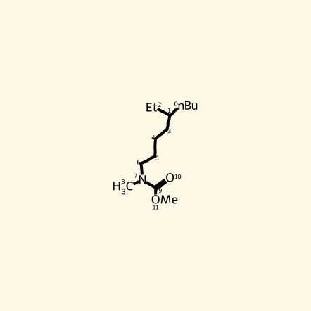 CCCCC(CC)CCCCN(C)C(=O)OC